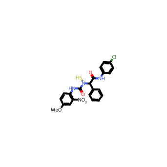 COc1ccc(NC(=O)N(S)C(C(=O)Nc2ccc(Cl)cc2)c2ccccc2)c([N+](=O)[O-])c1